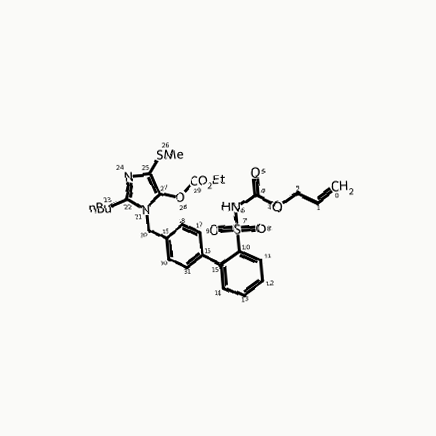 C=CCOC(=O)NS(=O)(=O)c1ccccc1-c1ccc(Cn2c(CCCC)nc(SC)c2OC(=O)OCC)cc1